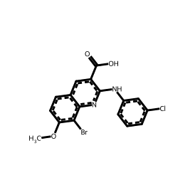 COc1ccc2cc(C(=O)O)c(Nc3cccc(Cl)c3)nc2c1Br